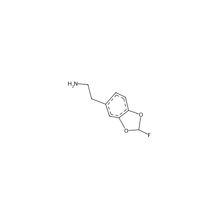 NCCc1ccc2c(c1)OC(F)O2